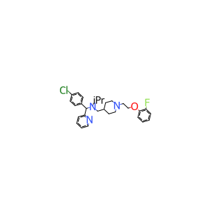 CC(C)N(CC1CCN(CCOc2ccccc2F)CC1)C(c1ccc(Cl)cc1)c1ccccn1